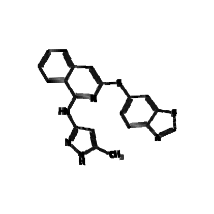 Cc1cc(Nc2nc(Sc3ccc4ncsc4c3)cc3ccccc23)n[nH]1